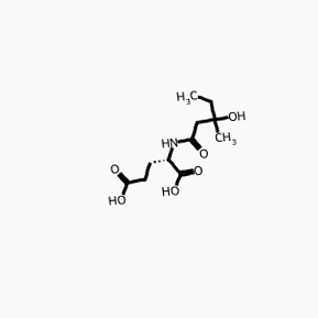 CCC(C)(O)CC(=O)N[C@@H](CCC(=O)O)C(=O)O